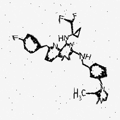 Cc1nccn1-c1cccc(CNc2nc(NC3(C(F)F)CC3)c3nc(-c4ccc(F)cc4)ccc3n2)c1